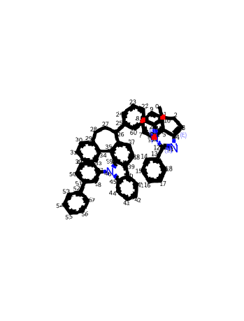 CC1C/C=C(c2ccccc2)/N=C(c2ccccc2)\N=C/1c1cccc(C2CCc3ccccc3-c3c2ccc2c4ccccc4n(-c4cccc(-c5ccccc5)c4)c32)c1